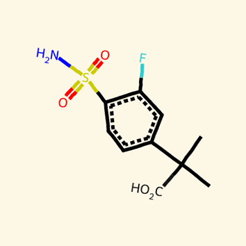 CC(C)(C(=O)O)c1ccc(S(N)(=O)=O)c(F)c1